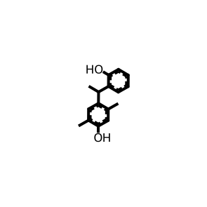 Cc1cc(C(C)c2ccccc2O)c(C)cc1O